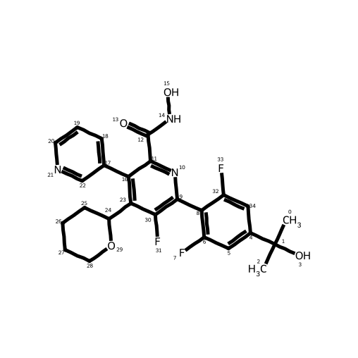 CC(C)(O)c1cc(F)c(-c2nc(C(=O)NO)c(-c3cccnc3)c(C3CCCCO3)c2F)c(F)c1